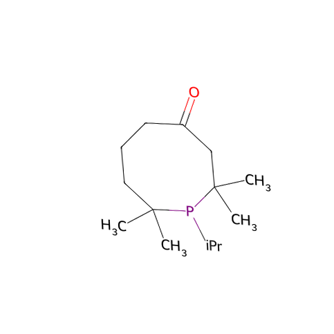 CC(C)P1C(C)(C)CCCC(=O)CC1(C)C